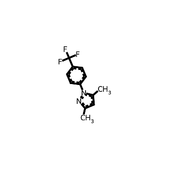 Cc1cc(C)n(-c2ccc(C(F)(F)F)cc2)n1